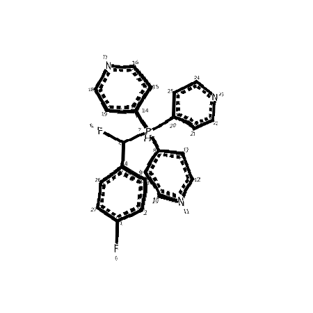 Fc1ccc(C(F)[PH](c2ccncc2)(c2ccncc2)c2ccncc2)cc1